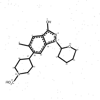 Cc1cc2c(O)nn(C3CCCCO3)c2cc1C1CCN(C(=O)O)CC1